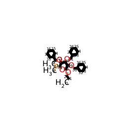 C=CCO[C@H]1O[C@H](P(C)C)[C@@H](OCc2ccccc2)[C@H](OCc2ccccc2)[C@H]1OCc1ccccc1